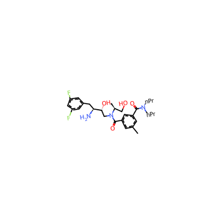 CCCN(CCC)C(=O)c1cc(C)cc(C(=O)N(C[C@@H](O)[C@@H](N)Cc2cc(F)cc(F)c2)[C@@H](C)CO)c1